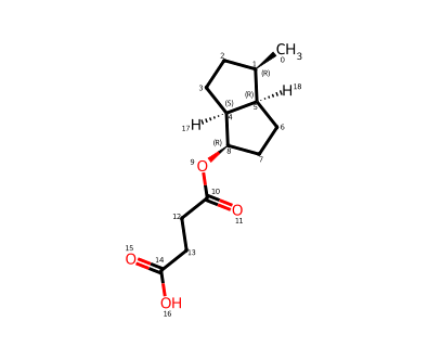 C[C@@H]1CC[C@H]2[C@@H]1CC[C@H]2OC(=O)CCC(=O)O